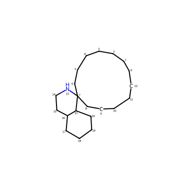 C1CCCCCCC2(CCCCC1)NCCC1CCCCC12